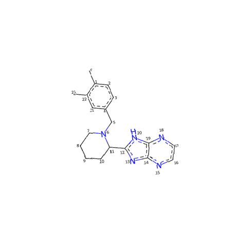 Cc1ccc(CN2CCCCC2c2nc3nccnc3[nH]2)cc1C